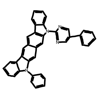 c1ccc(-c2cnc(-n3c4ccccc4c4cc5cc6c7ccccc7n(-c7ccccc7)c6cc5cc43)nc2)cc1